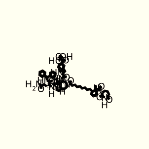 Cn1c(=O)n(C2CCCC(=O)NC2=O)c2cccc(CCCCCCCCC(=O)N3CC[C@H]4CC[C@@H](C(=O)N[C@@H](CCC(N)=O)C(O)NC(c5ccccc5)c5ccccc5)N4C(=O)[C@@H](NC(=O)c4cc5cc(C(=O)P(=O)(O)O)ccc5[nH]4)C3)c21